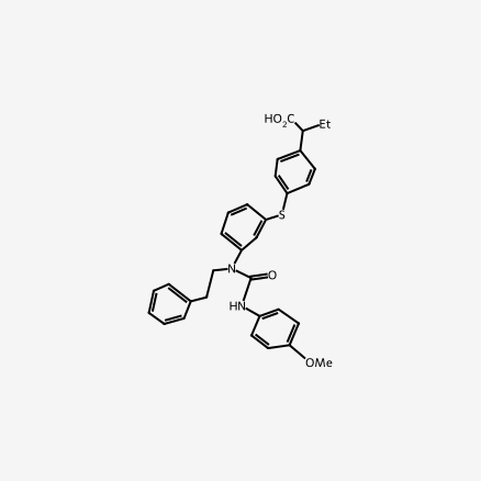 CCC(C(=O)O)c1ccc(Sc2cccc(N(CCc3ccccc3)C(=O)Nc3ccc(OC)cc3)c2)cc1